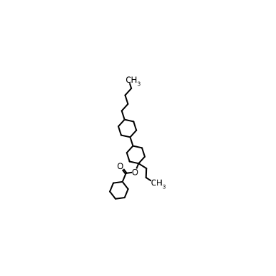 CCCCCC1CCC(C2CCC(CCC)(OC(=O)C3CCCCC3)CC2)CC1